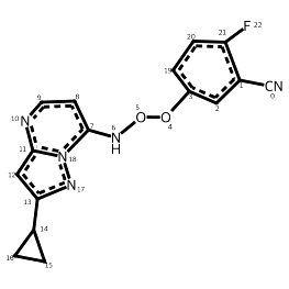 N#Cc1cc(OONc2ccnc3cc(C4CC4)nn23)ccc1F